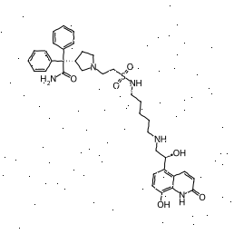 NC(=O)C(c1ccccc1)(c1ccccc1)[C@@H]1CCN(CCS(=O)(=O)NCCCCCNC[C@@H](O)c2ccc(O)c3[nH]c(=O)ccc23)C1